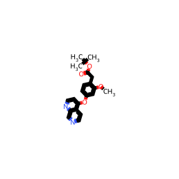 COc1cc(Oc2ccnc3cnccc23)ccc1CC(=O)OC(C)(C)C